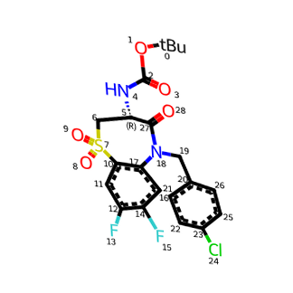 CC(C)(C)OC(=O)N[C@H]1CS(=O)(=O)c2cc(F)c(F)cc2N(Cc2ccc(Cl)cc2)C1=O